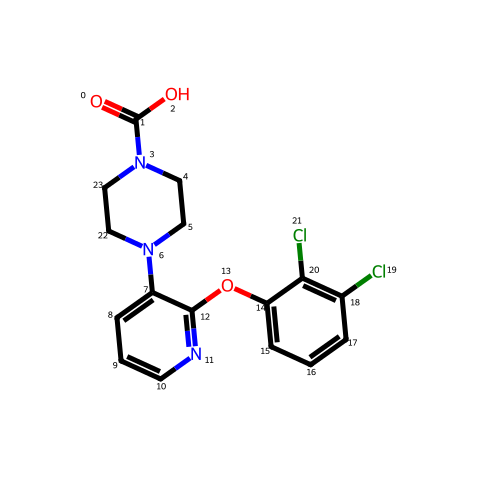 O=C(O)N1CCN(c2cccnc2Oc2cccc(Cl)c2Cl)CC1